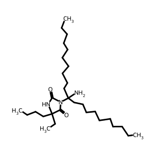 CCCCCCCCCCC(N)(CCCCCCCCCC)N1C(=O)NC(CC)(CCCC)C1=O